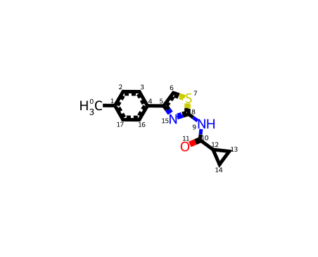 Cc1ccc(-c2csc(NC(=O)C3CC3)n2)cc1